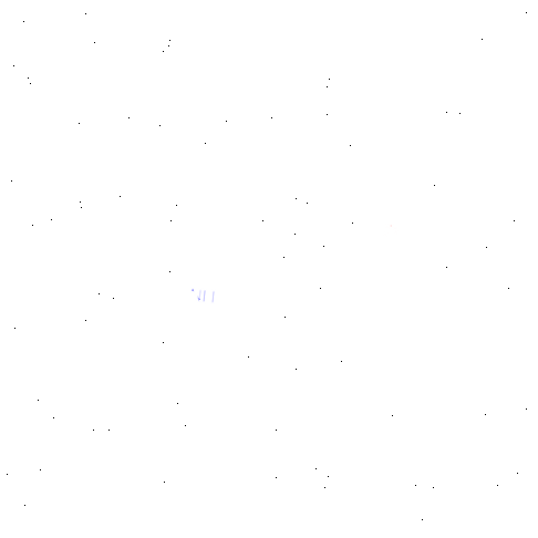 C=CNCC1=CCC(OC)C=C1